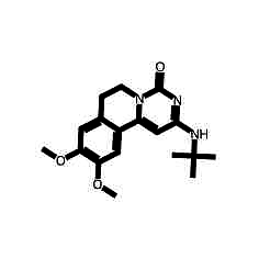 COc1cc2c(cc1OC)-c1cc(NC(C)(C)C)nc(=O)n1CC2